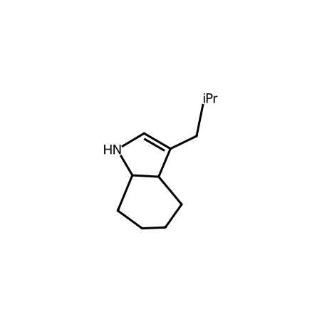 CC(C)CC1=CNC2CCCCC12